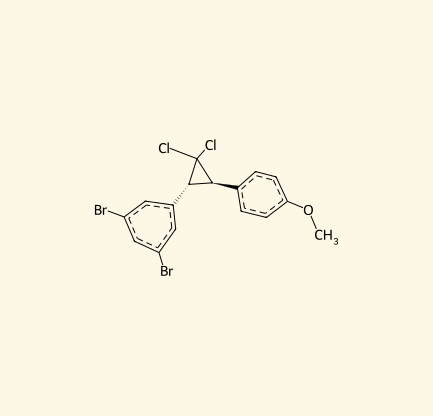 COc1ccc([C@H]2[C@H](c3cc(Br)cc(Br)c3)C2(Cl)Cl)cc1